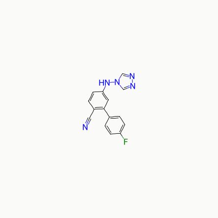 N#Cc1ccc(Nn2cnnc2)cc1-c1ccc(F)cc1